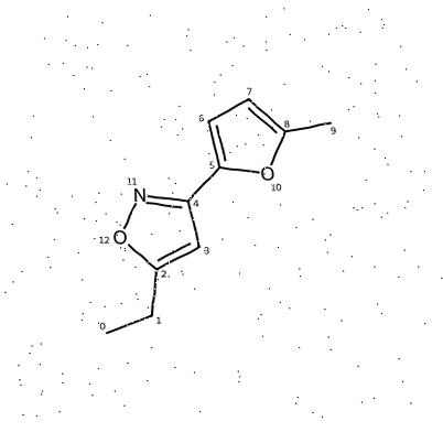 CCc1cc(-c2ccc(C)o2)no1